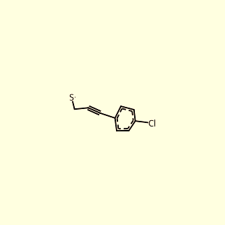 [S]CC#Cc1ccc(Cl)cc1